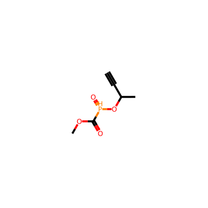 C#CC(C)O[PH](=O)C(=O)OC